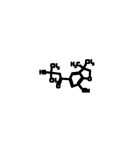 CC(C)(S)CC(=O)c1cc(C(C)(C)C)c2c(c1)C(C)(C)CO2